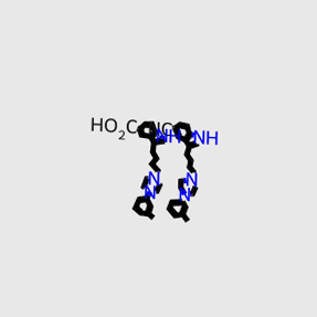 Cc1cccc(N2CCN(CCCCc3c[nH]c4ccc(C#N)cc34)CC2)c1.Cc1cccc(N2CCN(CCCCc3c[nH]c4ccc(C(=O)O)cc34)CC2)c1